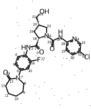 O=C(Nc1ccc(N2CCCCCC2=O)cc1F)[C@H]1C[C@@H](CO)CN1C(=O)Nc1ccc(Cl)cn1